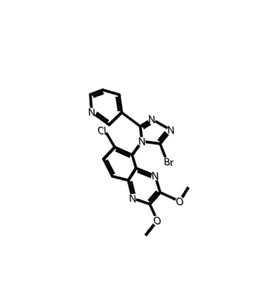 COc1nc2ccc(Cl)c(-n3c(Br)nnc3-c3cccnc3)c2nc1OC